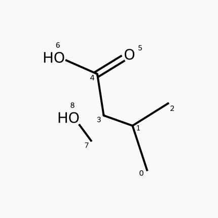 CC(C)CC(=O)O.CO